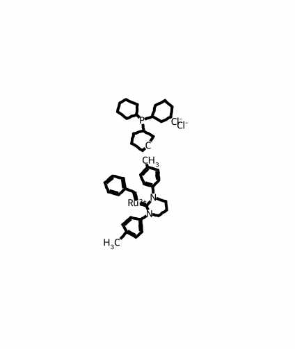 C1CCC(P(C2CCCCC2)C2CCCCC2)CC1.Cc1ccc(N2CCCN(c3ccc(C)cc3)[C]2=[Ru+2]=[CH]c2ccccc2)cc1.[Cl-].[Cl-]